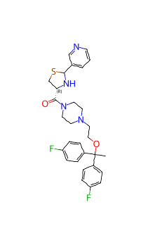 CC(OCCN1CCN(C(=O)[C@@H]2CSC(c3cccnc3)N2)CC1)(c1ccc(F)cc1)c1ccc(F)cc1